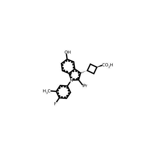 Cc1cc(-n2c(C(C)C)c([C@H]3C[C@H](C(=O)O)C3)c3cc(O)ccc32)ccc1F